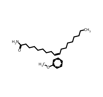 CCCCCCCC/C=C\CCCCCCCC(N)=O.COc1ccccc1